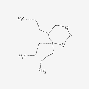 CCCC1COOOC1(CCC)CCC